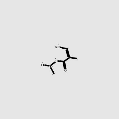 CCCC=C(C)C(=O)ON(C)CC